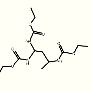 CCOC(=O)NC(C)CC(NC(=O)OCC)NC(=O)OCC